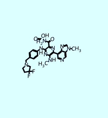 CNc1nc(Nc2ccc(CN3CCC(F)(F)C3)cc2)c(C(N)=O)nc1-c1cncc2c1ncn2C.O=CO